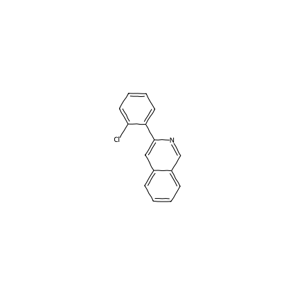 Clc1ccccc1-c1cc2ccccc2cn1